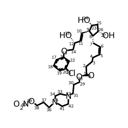 O=C(CCC/C=C\C[C@@H]1[C@@H](/C=C/[C@@H](O)COc2cccc(Cl)c2)[C@H](O)C[C@@H]1O)OCCCN1CCN(CCCO[N+](=O)[O-])CC1